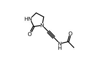 CC(=O)NC#CN1CCNC1=O